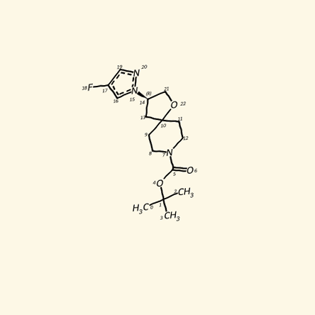 CC(C)(C)OC(=O)N1CCC2(CC1)C[C@@H](n1cc(F)cn1)CO2